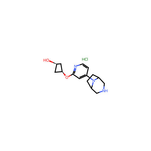 Cl.O[C@H]1C[C@@H](Oc2cc(N3C4CCC3CNC4)ccn2)C1